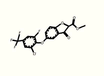 COC(=O)C1Oc2ccc(Oc3c(F)cc(C(F)(F)F)cc3Cl)cc2C1=O